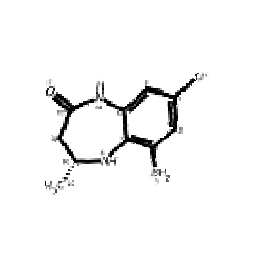 Bc1cc(Cl)cc2c1N[C@H](C)CC(=O)N2